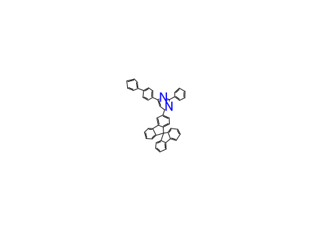 c1ccc(-c2ccc(-c3cc(-c4ccc5c(c4)-c4ccccc4C54c5ccccc5-c5ccccc54)nc(-c4ccccc4)n3)cc2)cc1